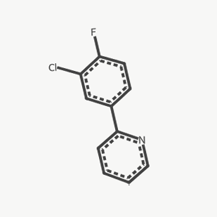 Fc1ccc(-c2cc[c]cn2)cc1Cl